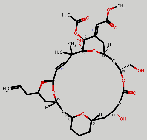 C=CCC1C[C@H]2C[C@H]3CCC[C@@H](C[C@@H](O)CC(=O)O[C@@H](CO)C[C@@H]4C/C(=C\C(=O)OC)[C@H](OC(C)=O)[C@@](O)(O4)C(C)(C)/C=C/[C@@H](O1)O2)O3